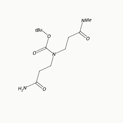 CNC(=O)CCN(CCC(N)=O)C(=O)OC(C)(C)C